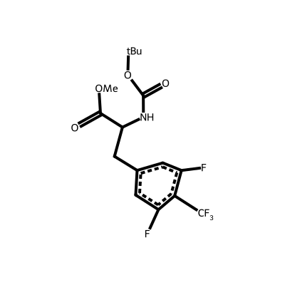 COC(=O)C(Cc1cc(F)c(C(F)(F)F)c(F)c1)NC(=O)OC(C)(C)C